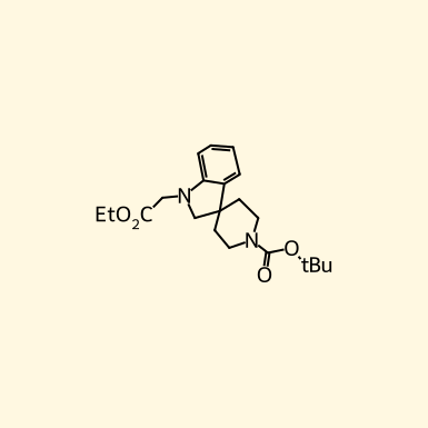 CCOC(=O)CN1CC2(CCN(C(=O)OC(C)(C)C)CC2)c2ccccc21